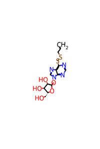 C=CCSSc1ncnc2c1ncn2OC1O[C@H](CO)[C@@H](O)[C@H]1O